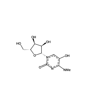 CNc1nc(=O)n([C@@H]2O[C@H](CO)[C@@H](O)[C@H]2O)cc1O